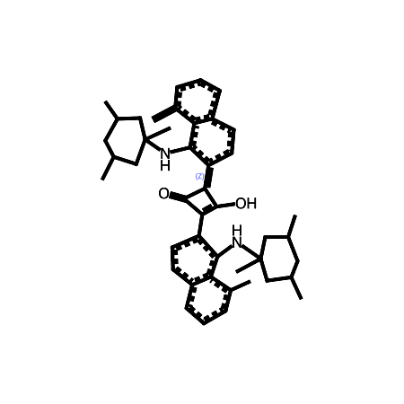 C=c1cccc2cc/c(=C3/C(=O)C(c4ccc5cccc(C)c5c4NC4(C)CC(C)CC(C)C4)=C3O)c(NC3(C)CC(C)CC(C)C3)c12